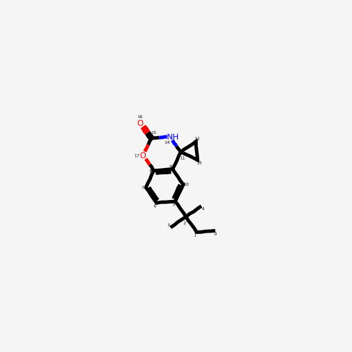 CCC(C)(C)c1ccc2c(c1)C1(CC1)NC(=O)O2